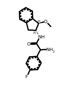 CO[C@@H]1c2ccccc2C[C@H]1NC(=O)C(N)c1ccc(F)cc1